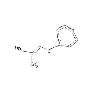 C/C(O)=C\Oc1ccccc1